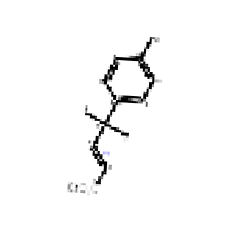 CCOC(=O)/C=C/C(C)(C)c1ccc(C)cc1